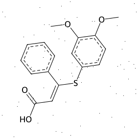 COc1ccc(SC(=CC(=O)O)c2ccccc2)cc1OC